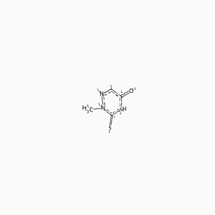 Cn1ncc(=O)[nH]c1=S